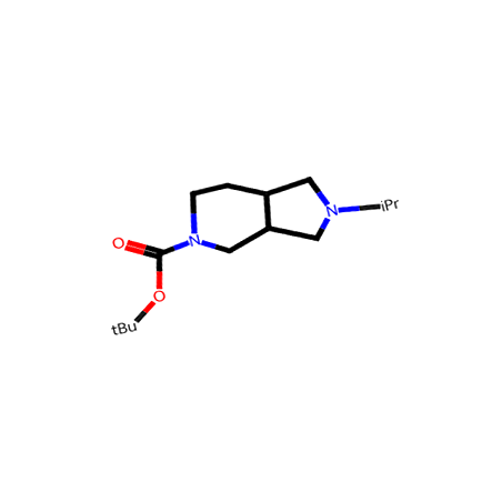 CC(C)N1CC2CCN(C(=O)OC(C)(C)C)CC2C1